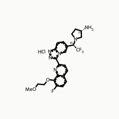 COCCOc1c(F)ccc2ccc(-c3nnc4ccc([C@@H](N5CC[C@H](N)C5)C(F)(F)F)cn34)nc12.Cl